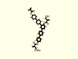 C=C(C)C(=O)OC1CCC(C2CCC(c3cc(-c4ccc(-c5ccc(OC(=O)C(=C)COC)cc5)cc4)ccc3OC(=O)C(=C)CO)CC2)CC1